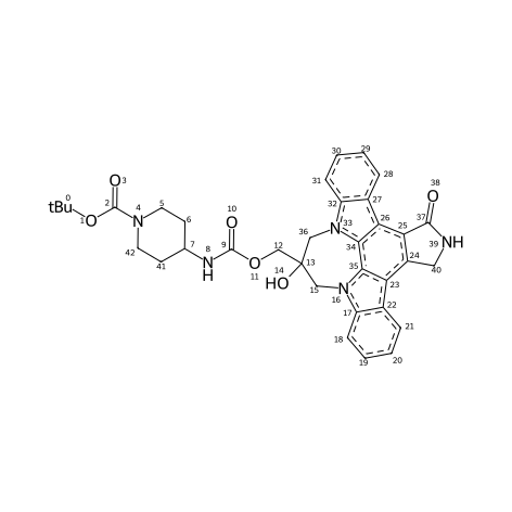 CC(C)(C)OC(=O)N1CCC(NC(=O)OCC2(O)Cn3c4ccccc4c4c5c(c6c7ccccc7n(c6c43)C2)C(=O)NC5)CC1